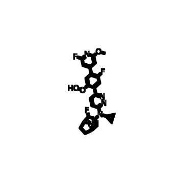 COc1cc(-c2cc(OO)c(-c3ccc(N(C4CC4)C4CC5CCC(N5)C4F)nn3)cc2F)cc(F)n1